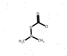 CN(C)OC(=O)Cl